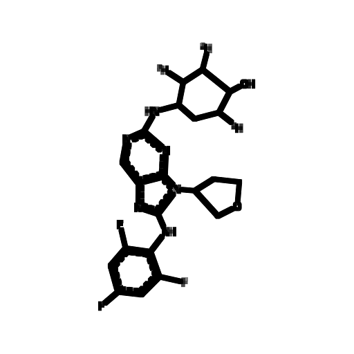 [2H]C1CC(Nc2ncc3nc(Nc4c(F)cc(F)cc4F)n(C4CCOC4)c3n2)C([2H])C([2H])C1O